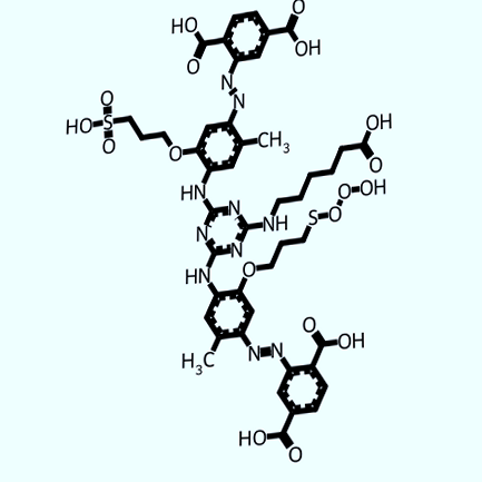 Cc1cc(Nc2nc(NCCCCCC(=O)O)nc(Nc3cc(C)c(N=Nc4cc(C(=O)O)ccc4C(=O)O)cc3OCCCS(=O)(=O)O)n2)c(OCCCSOOO)cc1N=Nc1cc(C(=O)O)ccc1C(=O)O